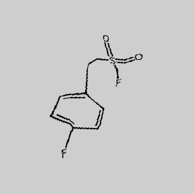 O=S(=O)(F)Cc1ccc(F)cc1